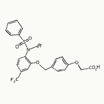 CC(C)N(c1ccc(C(F)(F)F)cc1OCc1ccc(OCC(=O)O)cc1)S(=O)(=O)c1ccccc1